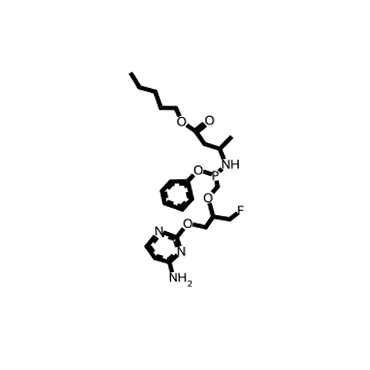 CCCCCOC(=O)CC(C)NP(COC(CF)COc1nccc(N)n1)Oc1ccccc1